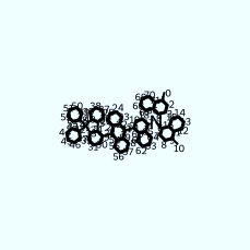 Cc1ccc(N(c2ccc(C)c3ccccc23)c2ccc(-c3c4ccccc4c(-c4cccc5c4-c4ccccc4C5(c4ccccc4)c4ccccc4)c4ccccc34)c3ccccc23)c2ccccc12